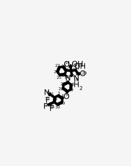 N#Cc1cc(Oc2ccc(N3CC(C(=O)O)(C(O)C(N)=O)c4ccccc43)cc2)ccc1C(F)(F)F